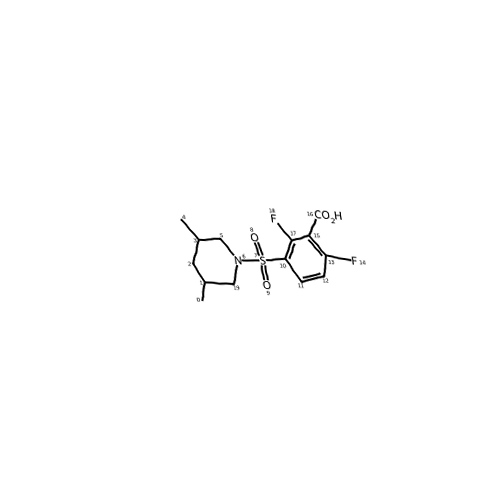 CC1CC(C)CN(S(=O)(=O)c2ccc(F)c(C(=O)O)c2F)C1